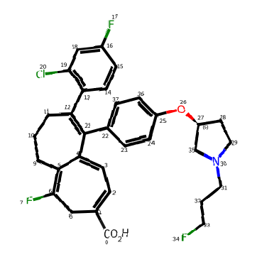 O=C(O)C1=CC=C2C(=C(F)C1)CCCC(c1ccc(F)cc1Cl)=C2c1ccc(O[C@H]2CCN(CCCF)C2)cc1